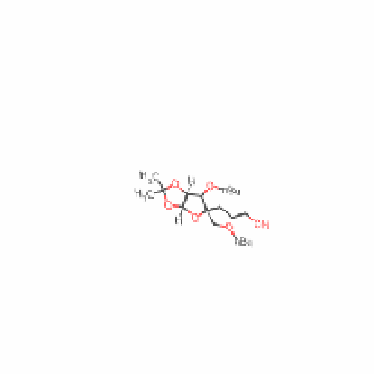 CCCCOC[C@@]1(CCCO)O[C@@H]2OC(C)(C)O[C@H]2C1OCCCC